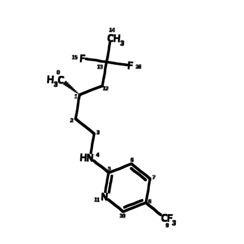 C[C@@H](CCNc1ccc(C(F)(F)F)cn1)CC(C)(F)F